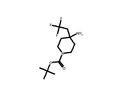 CC(C)(C)OC(=O)N1CCC(N)(CC(F)(F)F)CC1